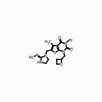 Cc1c(CN2CCN/C2=N\C#N)sc2c1c(=O)n(C(C)C)c(=O)n2CC1CCO1